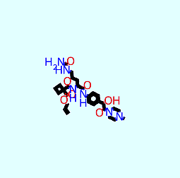 C=CCOC(=O)C1(C(=O)NC(CCCNC(N)=O)C(=O)Nc2ccc(C(O)C(=O)N3CCN(C)CC3)cc2)CCC1